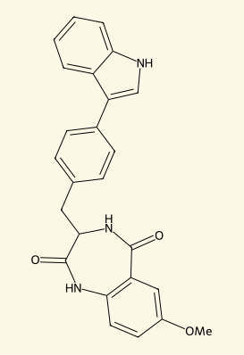 COc1ccc2c(c1)C(=O)NC(Cc1ccc(-c3c[nH]c4ccccc34)cc1)C(=O)N2